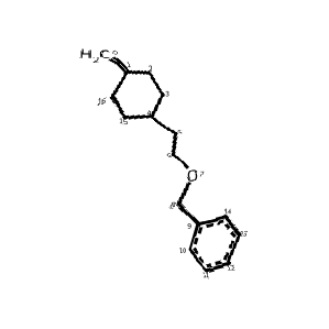 C=C1CCC(CCOCc2ccccc2)CC1